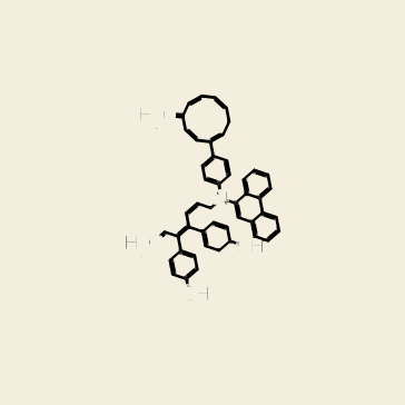 C=C/C(=C(\C=C/CN(c1ccc(C2=C/C/C=C\C=C/C(=C)/C=C\2)cc1)c1cc2ccccc2c2ccccc12)C1=CCC(C)C=C1)c1ccc(C)cc1